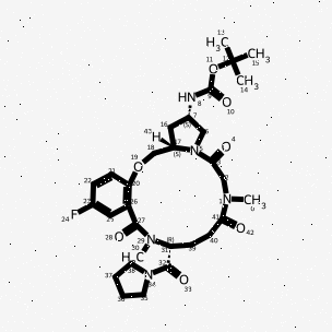 CN1CC(=O)N2C[C@@H](NC(=O)OC(C)(C)C)C[C@H]2COc2ccc(F)cc2C(=O)N(C)[C@@H](C(=O)N2CCCC2)CCC1=O